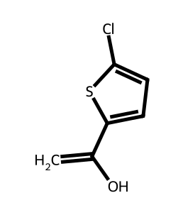 C=C(O)c1ccc(Cl)s1